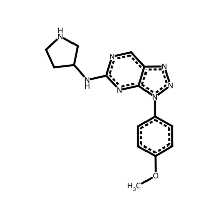 COc1ccc(-n2nnc3cnc(NC4CCNC4)nc32)cc1